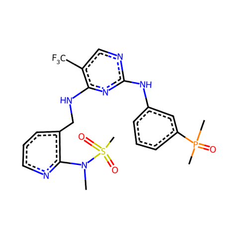 CN(c1ncccc1CNc1nc(Nc2cccc(P(C)(C)=O)c2)ncc1C(F)(F)F)S(C)(=O)=O